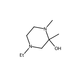 CCN1CCN(C)C(C)(O)C1